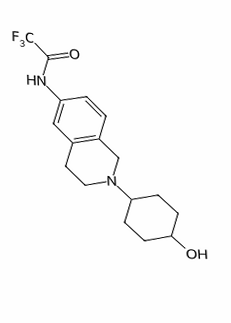 O=C(Nc1ccc2c(c1)CCN(C1CCC(O)CC1)C2)C(F)(F)F